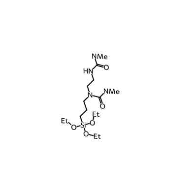 CCO[Si](CCCN(CCNC(=O)NC)C(=O)NC)(OCC)OCC